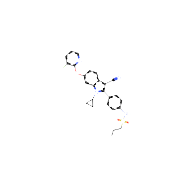 CCCS(=O)(=O)Nc1ccc(-c2c(C#N)c3ccc(Oc4ncccc4F)cc3n2C2CC2)cc1